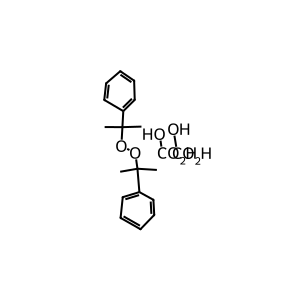 CC(C)(OOC(C)(C)c1ccccc1)c1ccccc1.O=C(O)O.O=C(O)O